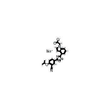 CC(C)Oc1ccc(-c2nc(-c3cccc4c3ccn4CC(=O)[O-])no2)cc1C#N.[Na+]